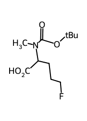 CN(C(=O)OC(C)(C)C)C(CCCF)C(=O)O